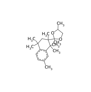 Cc1ccc2c(c1)C(C)(C)C(C)(C1(C)OCC(C)O1)CC2(C)C